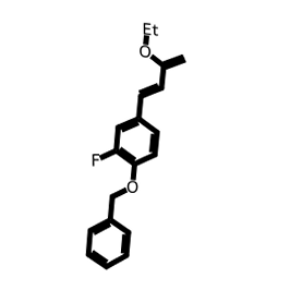 C=C(/C=C/c1ccc(OCc2ccccc2)c(F)c1)OCC